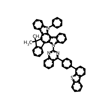 CC1(C)c2ccccc2-c2c1c1c3ccccc3n(-c3ccccc3)c1c1c3ccccc3n(-c3nc(-c4ccc(-c5cccc6c5sc5ccccc56)cc4)c4ccccc4n3)c21